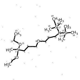 CCO[Si](C)(CCCOCCCN([Si](C)(C)C)[Si](C)(C)C)OCC